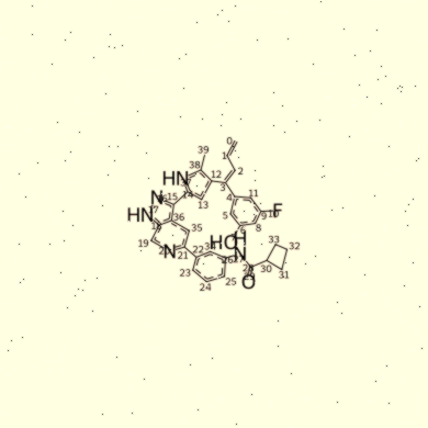 C=C/C=C(/c1cc(O)cc(F)c1)c1cc(-c2n[nH]c3cnc(-c4cccc(NC(=O)C5CCC5)c4)cc23)[nH]c1C